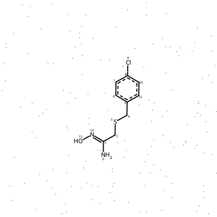 NC(CSCc1ccc(Cl)cc1)=NO